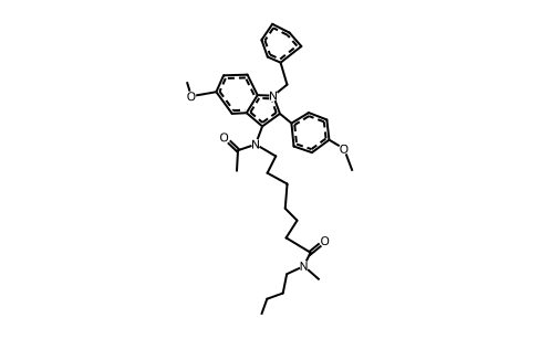 CCCCN(C)C(=O)CCCCCCN(C(C)=O)c1c(-c2ccc(OC)cc2)n(Cc2ccccc2)c2ccc(OC)cc12